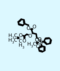 CC(C)(C)OC(=O)COC(CCO[Si](c1ccccc1)(c1ccccc1)C(C)(C)C)C(=O)OCc1ccccc1